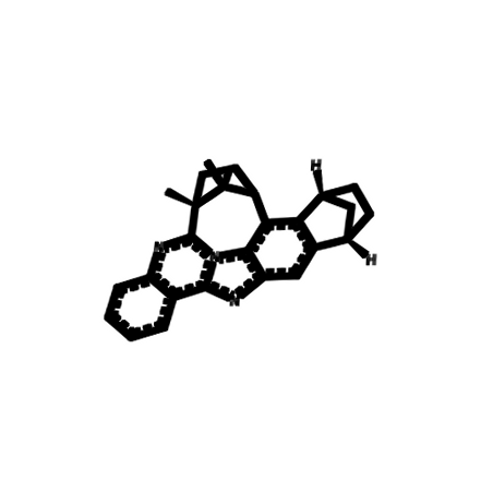 CC1(C)C2CC[C@@]1(C)c1nc3ccccc3c3nc4cc5c(c2c4n13)[C@@H]1CC[C@H]5C1